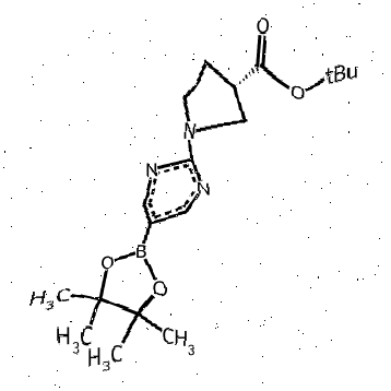 CC(C)(C)OC(=O)[C@H]1CCN(c2ncc(B3OC(C)(C)C(C)(C)O3)cn2)C1